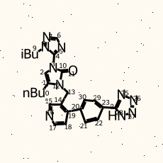 CCCCc1cn(-c2ncnn2C(C)CC)c(=O)n1Cc1cnccc1-c1ccc(-c2nnn[nH]2)cc1